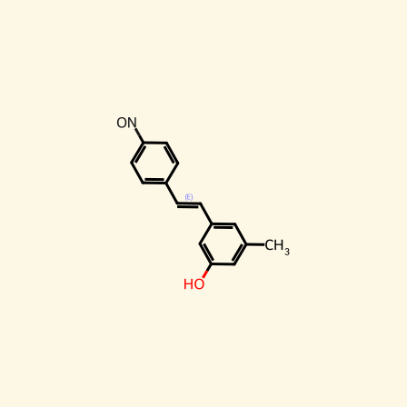 Cc1cc(O)cc(/C=C/c2ccc(N=O)cc2)c1